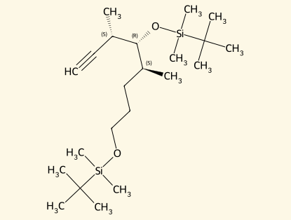 C#C[C@H](C)[C@H](O[Si](C)(C)C(C)(C)C)[C@@H](C)CCCO[Si](C)(C)C(C)(C)C